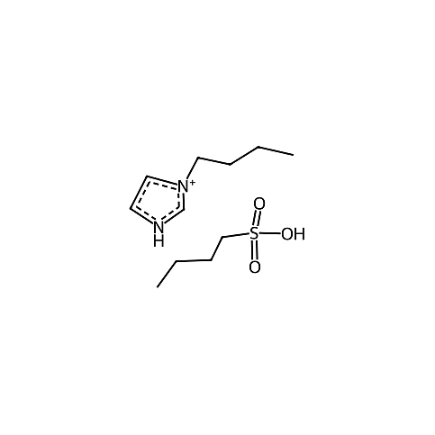 CCCCS(=O)(=O)O.CCCC[n+]1cc[nH]c1